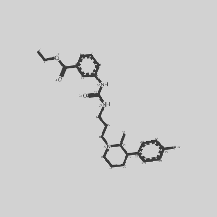 CCOC(=O)c1cccc(NC(=O)NCCCN2CCCC(c3ccc(F)cc3)C2C)c1